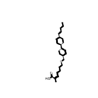 CCCCC[C@H]1CC[C@H]([C@H]2CC[C@H](COCCCCC=C(C)C(=O)O)CC2)CC1